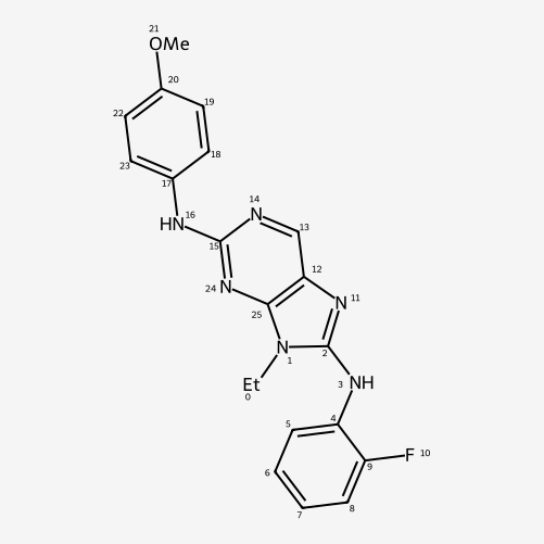 CCn1c(Nc2ccccc2F)nc2cnc(Nc3ccc(OC)cc3)nc21